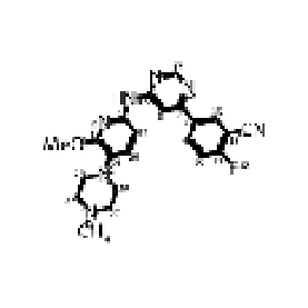 COc1nc(Nc2cc(-c3ccc(F)c(C#N)c3)ncn2)ccc1N1CCN(C)CC1